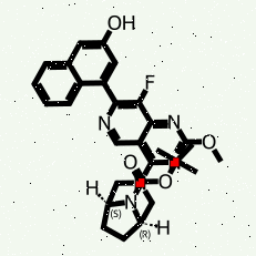 COc1nc(N2C[C@H]3CC[C@@H](C2)N3C(=O)OC(C)(C)C)c2cnc(-c3cc(O)cc4ccccc34)c(F)c2n1